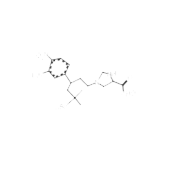 CCCCC(C)(C)CC(CCN1CNC(C(=O)C=O)C1)c1ccc([N+](=O)[O-])c(C(F)(F)F)c1